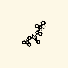 c1ccc(-c2cc(-c3ccc(-c4nc5oc6ccccc6c5c5ccccc45)c4ccccc34)nc(-c3cccc(-n4c5ccccc5c5ccccc54)c3)n2)cc1